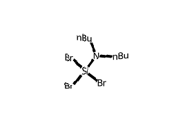 CCCCN(CCCC)[Si](Br)(Br)Br